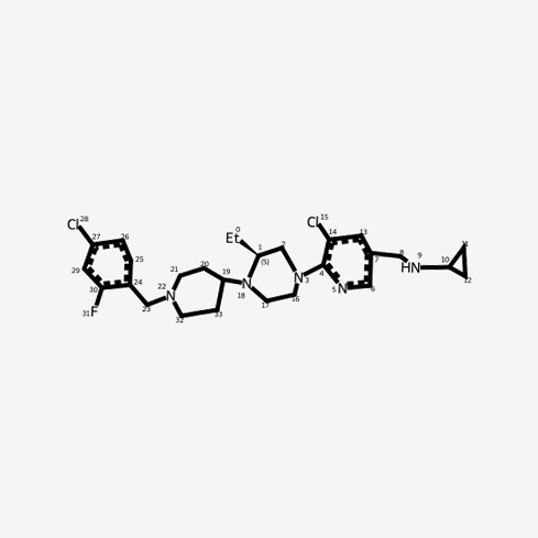 CC[C@H]1CN(c2ncc(CNC3CC3)cc2Cl)CCN1C1CCN(Cc2ccc(Cl)cc2F)CC1